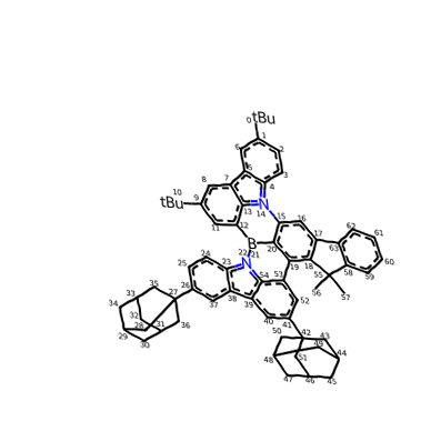 CC(C)(C)c1ccc2c(c1)c1cc(C(C)(C)C)cc3c1n2-c1cc2c(c4c1B3n1c3ccc(C56CC7CC(CC(C7)C5)C6)cc3c3cc(C56CC7CC(CC(C7)C5)C6)cc-4c31)C(C)(C)c1ccccc1-2